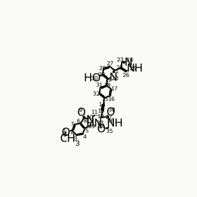 COc1ccc2c(c1)C(=O)N(C[C@@]1(C#Cc3ccc(-c4nc(-c5cn[nH]c5)ccc4O)cc3)NOCNC1=O)C2